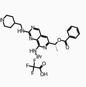 CC(C)Nc1nc([C@@H](C)OC(=O)c2ccccc2)cc2cnc(NCC3CCNCC3)nc12.O=C(O)C(F)(F)F